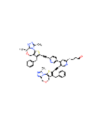 Cc1nnc2n1-c1sc(C#Cc3cnc(CCCC=O)cc3-c3ccc(C#Cc4sc5c(c4Cc4ccccc4)CO[C@@H](C)c4nnc(C)n4-5)nc3)c(Cc3ccccc3)c1COC2